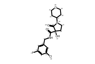 O=C(NCc1cc(F)cc(Cl)c1)[C@@]1(O)CCN(C2CCOCC2)C1=O